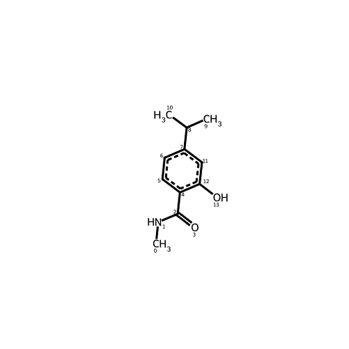 CNC(=O)c1ccc(C(C)C)cc1O